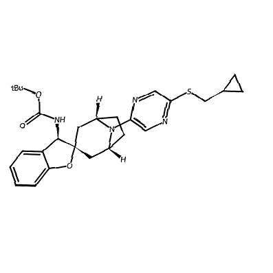 CC(C)(C)OC(=O)N[C@@H]1c2ccccc2O[C@]12C[C@H]1CC[C@@H](C2)N1c1cnc(SCC2CC2)cn1